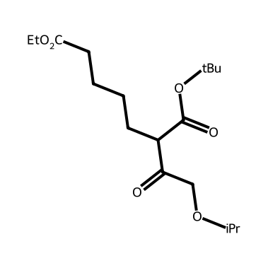 CCOC(=O)CCCCC(C(=O)COC(C)C)C(=O)OC(C)(C)C